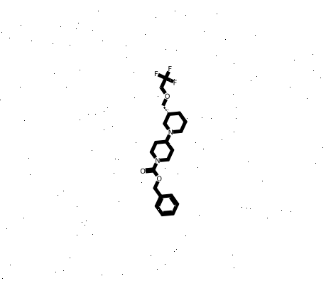 O=C(OCc1ccccc1)N1CCC(N2CCC[C@@H](COCC(F)(F)F)C2)CC1